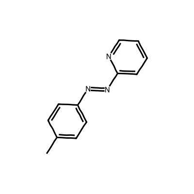 Cc1ccc(/N=N/c2ccccn2)cc1